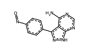 Nc1ncnc2[nH]nc(-c3ccc(N=O)cc3)c12